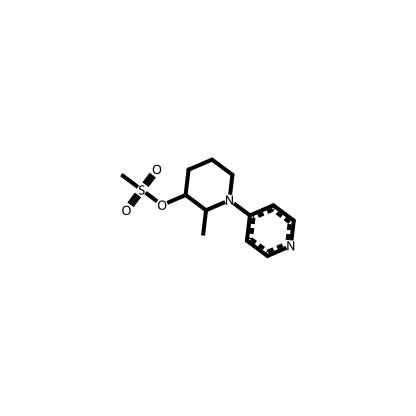 CC1C(OS(C)(=O)=O)CCCN1c1ccncc1